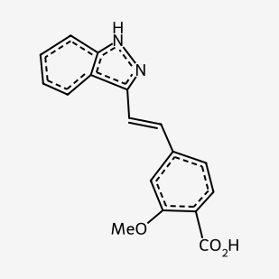 COc1cc(C=Cc2n[nH]c3ccccc23)ccc1C(=O)O